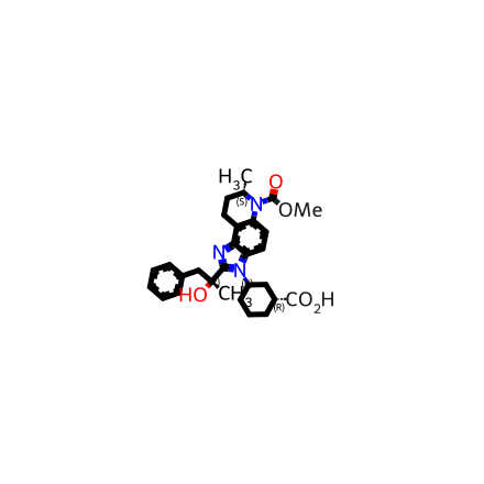 COC(=O)N1c2ccc3c(nc([C@](C)(O)Cc4ccccc4)n3[C@@H]3CCC[C@@H](C(=O)O)C3)c2CC[C@@H]1C